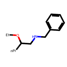 C[CH]CC(CNCc1ccccc1)OCC